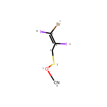 N#COSC/C(I)=C(/Br)I